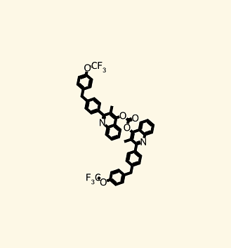 Cc1c(-c2ccc(Cc3ccc(OC(F)(F)F)cc3)cc2)nc2ccccc2c1OC(=O)Oc1c(C)c(-c2ccc(Cc3ccc(OC(F)(F)F)cc3)cc2)nc2ccccc12